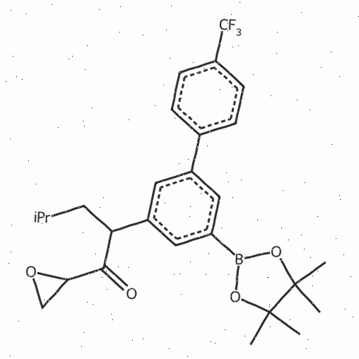 CC(C)CC(C(=O)C1CO1)c1cc(B2OC(C)(C)C(C)(C)O2)cc(-c2ccc(C(F)(F)F)cc2)c1